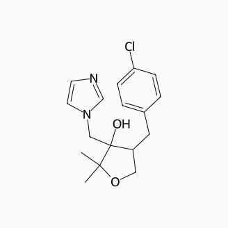 CC1(C)OCC(Cc2ccc(Cl)cc2)C1(O)Cn1ccnc1